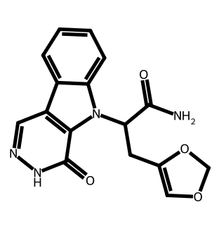 NC(=O)C(CC1=COCO1)n1c2ccccc2c2cn[nH]c(=O)c21